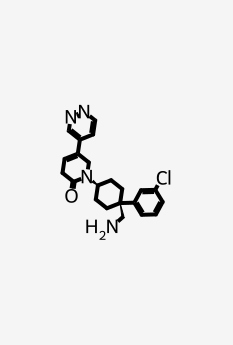 NC[C@]1(c2cccc(Cl)c2)CC[C@H](N2CC(c3ccnnc3)=CCC2=O)CC1